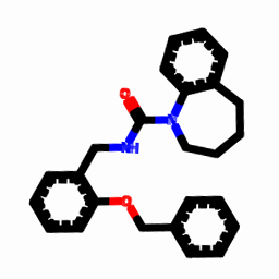 O=C(NCc1ccccc1OCc1ccccc1)N1CCCCc2ccccc21